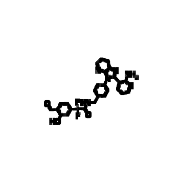 Nc1ncccc1-c1nc2cccnc2n1-c1ccc(CNC(=O)C(F)(F)c2ccc(C=O)c(O)c2)cc1